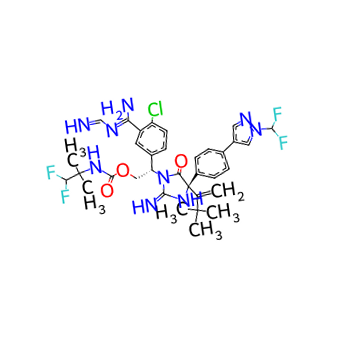 C=C(C(C)(C)C)[C@]1(c2ccc(-c3cnn(C(F)F)c3)cc2)NC(=N)N([C@H](COC(=O)NC(C)(C)C(F)F)c2ccc(Cl)c(/C(N)=N/C=N)c2)C1=O